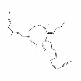 CC#C/C=C\C/C=C\CCN1C(=O)C(C)CN(C/C=C(\C)CC=CC)CCCN(C)/C1=N\CCC